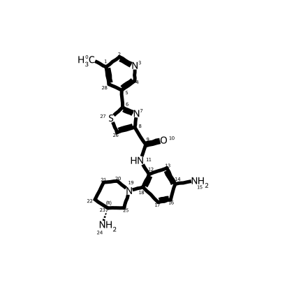 Cc1cncc(-c2nc(C(=O)Nc3cc(N)ccc3N3CCC[C@@H](N)C3)cs2)c1